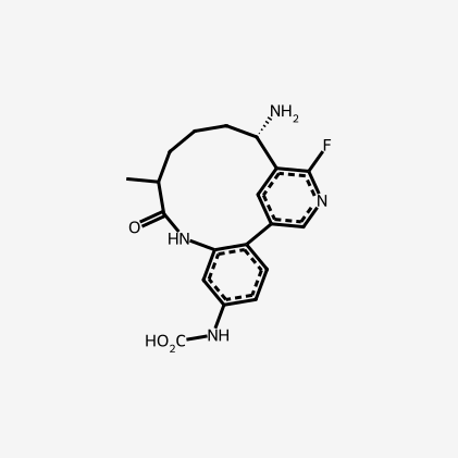 CC1CCC[C@H](N)c2cc(cnc2F)-c2ccc(NC(=O)O)cc2NC1=O